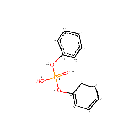 O=P(O)(OC1=CC=CCC1)Oc1ccccc1